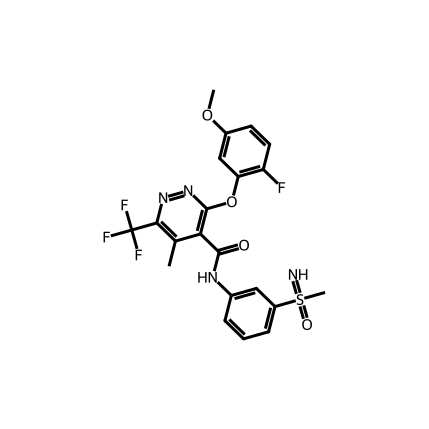 COc1ccc(F)c(Oc2nnc(C(F)(F)F)c(C)c2C(=O)Nc2cccc(S(C)(=N)=O)c2)c1